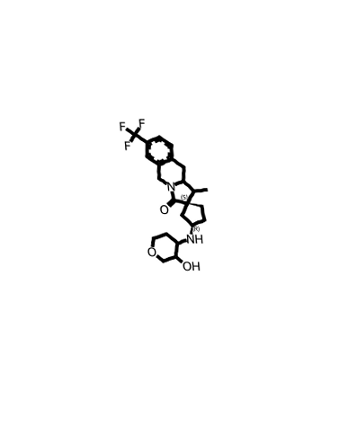 CC1C2Cc3ccc(C(F)(F)F)cc3CN2C(=O)[C@]12CC[C@@H](NC1CCOCC1O)C2